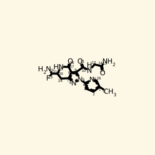 Cc1ccc(-n2nc3c(c2C(=O)NCC(N)=O)C(=O)NC(C(N)F)C3)nc1